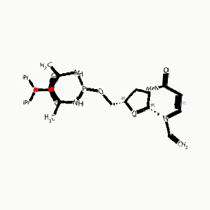 C=CN(/C=C\C(=O)NC)[C@H]1CC[C@@H](COP(NC(C)C(=O)OC(C)C)NC(C)C(=O)OC(C)C)O1